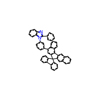 c1ccc(-c2nc3ccccc3n2-c2cccc(-c3cc4c(c5ccccc35)-c3cc5ccccc5cc3C43c4ccccc4-c4ccccc43)c2)cc1